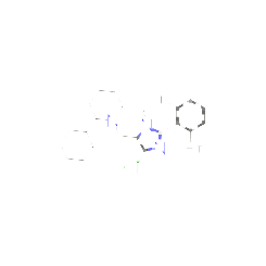 CCc1cccc(CC)c1-c1nc(Cl)c(CN2CCCCC2C2CCCCC2)n1C